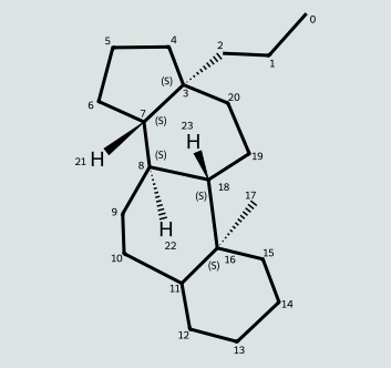 CCC[C@@]12CCC[C@H]1[C@@H]1CCC3CCCC[C@]3(C)[C@H]1CC2